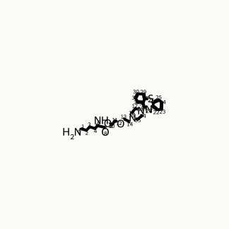 NCCCCC(N)C(=O)OCCOCCN1CCN(C2=Nc3ccccc3Sc3ccccc32)CC1